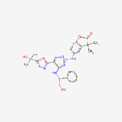 CC1(C)C(=O)Oc2ccc(Nc3ncc(-c4nnc(C(C)(O)C(F)(F)F)o4)c(NC(CO)c4ccccc4)n3)cc21